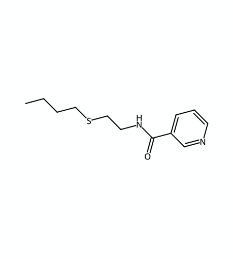 CCCCSCCNC(=O)c1cccnc1